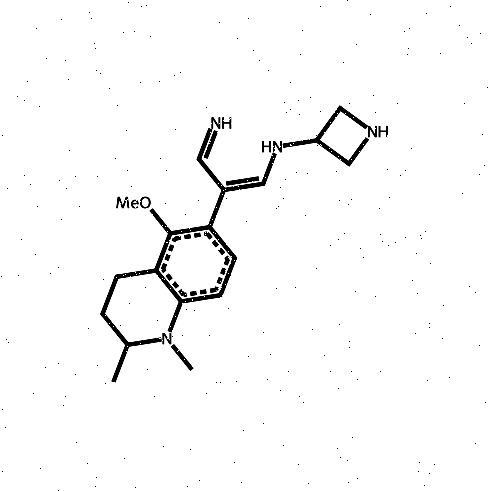 COc1c(/C(C=N)=C/NC2CNC2)ccc2c1CCC(C)N2C